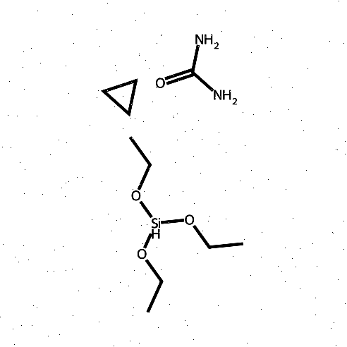 C1CC1.CCO[SiH](OCC)OCC.NC(N)=O